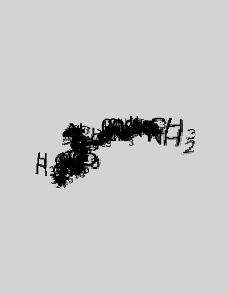 Cc1ncsc1-c1ccc(CNC(=O)[C@@H]2CCCN2C(=O)[C@@H](NC(=O)C2(F)CC2)C(C)(C)C)c(OCCC2CCN(C(=O)C(C)(C)C(=O)Nc3cccc(Sc4cnc(N5CCC(C)(CN)CC5)cn4)c3Cl)CC2)c1